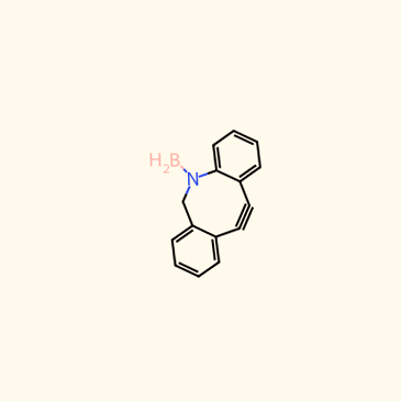 BN1Cc2ccccc2C#Cc2ccccc21